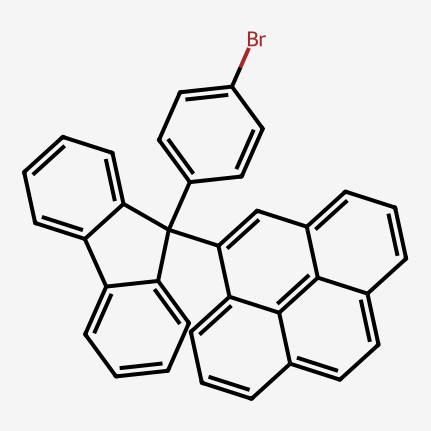 Brc1ccc(C2(c3cc4cccc5ccc6cccc3c6c54)c3ccccc3-c3ccccc32)cc1